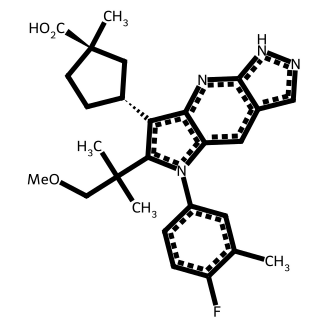 COCC(C)(C)c1c([C@@H]2CC[C@@](C)(C(=O)O)C2)c2nc3[nH]ncc3cc2n1-c1ccc(F)c(C)c1